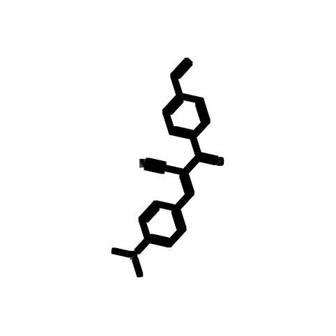 C=Cc1ccc(C(=O)C(C#N)=Cc2ccc(N(C)C)cc2)cc1